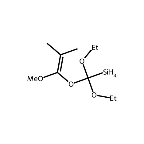 CCOC([SiH3])(OCC)OC(OC)=C(C)C